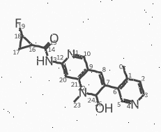 Cc1ccncc1C1=Cc2cnc(NC(=O)C3CC3F)cc2N(C)C1O